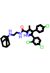 Cc1c(C(=O)NCCNC2C3CC4CC(C3)CC2C4)[nH]c(-c2ccc(Cl)cc2Cl)c1-c1ccc(Cl)cc1